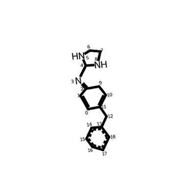 C1=C/C(=N/C2NCCN2)CC=C1Cc1ccccc1